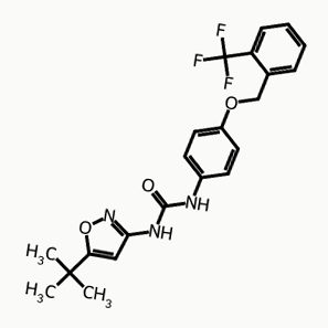 CC(C)(C)c1cc(NC(=O)Nc2ccc(OCc3ccccc3C(F)(F)F)cc2)no1